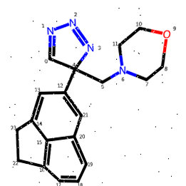 C1=NN=NC1(CN1CCOCC1)c1cc2c3c(cccc3c1)CC2